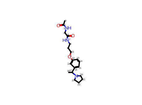 CC(=O)NCC(=O)NCCCOc1cccc(C(C)N2CCCC2)c1